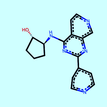 O[C@H]1CCC[C@@H]1Nc1nc(-c2ccncc2)nc2cnccc12